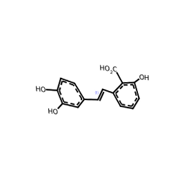 O=C(O)c1c(O)cccc1/C=C/c1ccc(O)c(O)c1